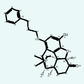 C[N+]1(C)CC[C@]23c4c5c(OCCCc6ccccc6)cc(O)c4O[C@H]2C(=O)CC[C@H]3[C@H]1C5